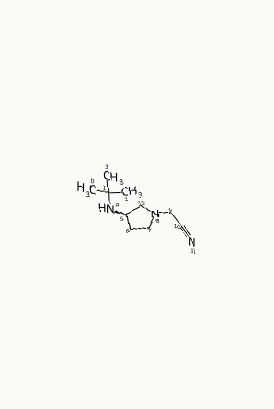 CC(C)(C)N[C@@H]1CCN(CC#N)C1